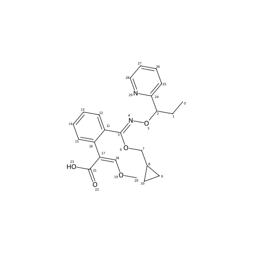 CCC(ON=C(OCC1CC1)c1ccccc1C(=COC)C(=O)O)c1ccccn1